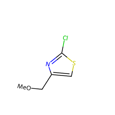 COCc1csc(Cl)n1